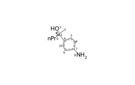 CCC[Si](C)(O)c1ccc(N)cc1